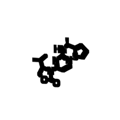 CC(C)C1COC(=O)N1c1ccnc(N[C@@H](C)c2cccs2)n1